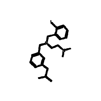 CC(C)Cc1cccc(CN(CCN(C)C)Cc2ccccc2I)c1